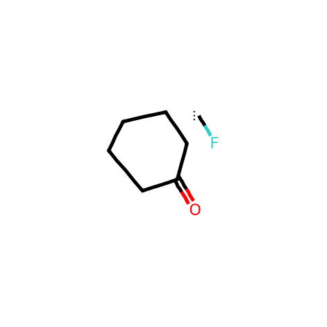 O=C1CCCCC1.[C]F